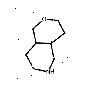 C1CC2COCCC2CN1